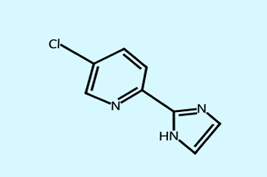 Clc1ccc(-c2ncc[nH]2)nc1